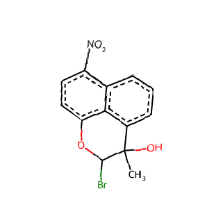 CC1(O)c2cccc3c([N+](=O)[O-])ccc(c23)OC1Br